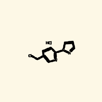 Cl.ClCc1ccc(-n2cccn2)nc1